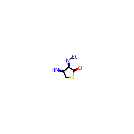 CCN=C1C(=N)CSC1=O